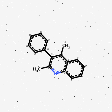 Cc1nc2ccccc2c(C)c1-c1ccccc1